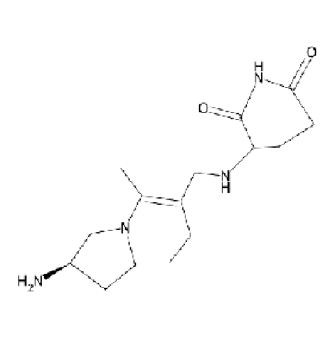 CC/C(CNC1CCC(=O)NC1=O)=C(/C)N1CC[C@@H](N)C1